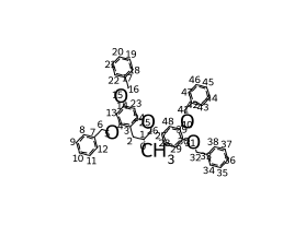 C[C@@H]1Cc2c(OCc3ccccc3)cc(OCc3ccccc3)cc2O[C@@H]1c1ccc(OCc2ccccc2)c(OCc2ccccc2)c1